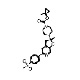 CC1(OC(=O)N2CCC(C3(C)Cc4cc(-c5ccc(S(C)(=O)=O)cc5)ncc4O3)CC2)CC1